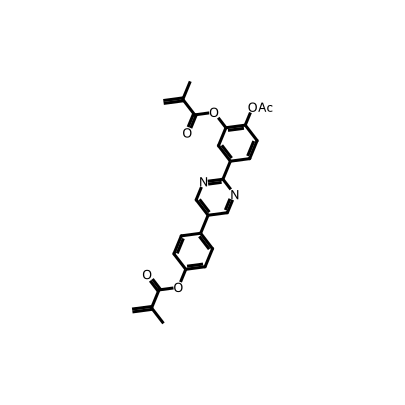 C=C(C)C(=O)Oc1ccc(-c2cnc(-c3ccc(OC(C)=O)c(OC(=O)C(=C)C)c3)nc2)cc1